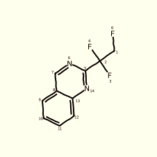 FCC(F)(F)c1ncc2ccccc2n1